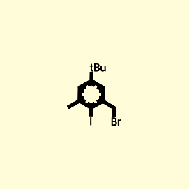 Cc1cc(C(C)(C)C)cc(CBr)c1I